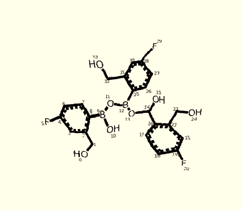 OCc1cc(F)ccc1B(O)OB(OC(O)c1ccc(F)cc1CO)c1ccc(F)cc1CO